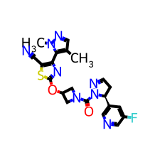 Cc1cnn(C)c1-c1nc(OC2CN(C(=O)N3N=CC[C@H]3c3cncc(F)c3)C2)sc1C#N